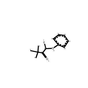 CC(C)(C)C(=O)C(F)Oc1ccccc1